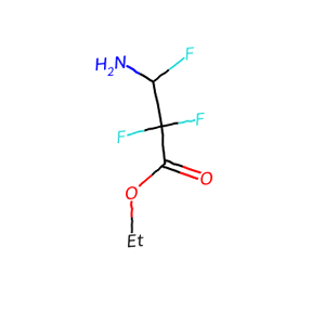 CCOC(=O)C(F)(F)C(N)F